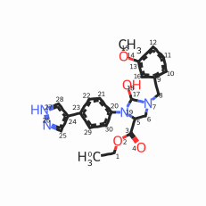 CCOC(=O)C1CN(Cc2cccc(OC)c2)C(O)N1c1ccc(-c2cn[nH]c2)cc1